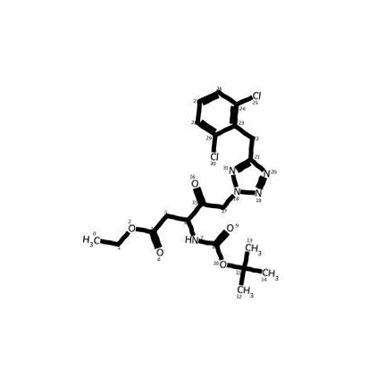 CCOC(=O)CC(NC(=O)OC(C)(C)C)C(=O)Cn1nnc(Cc2c(Cl)cccc2Cl)n1